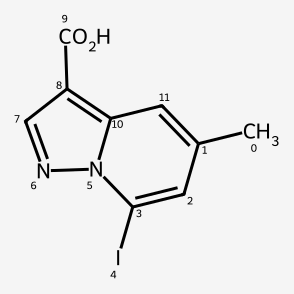 Cc1cc(I)n2ncc(C(=O)O)c2c1